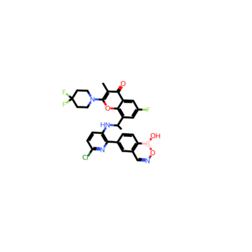 Cc1c(N2CCC(F)(F)CC2)oc2c(C(C)Nc3ccc(Cl)nc3-c3ccc4c(c3)C=NOB4O)cc(F)cc2c1=O